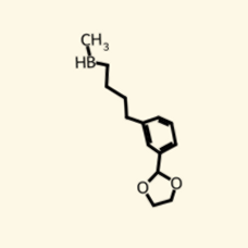 CBCCCCc1cccc(C2OCCO2)c1